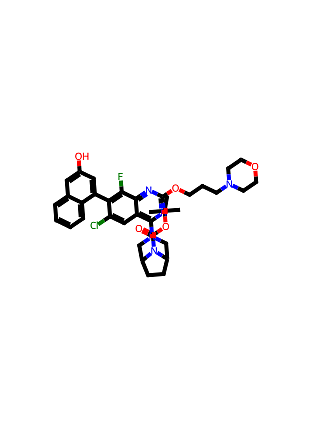 CC(C)(C)OC(=O)N1C2CCC1CN(c1nc(OCCCN3CCOCC3)nc3c(F)c(-c4cc(O)cc5ccccc45)c(Cl)cc13)C2